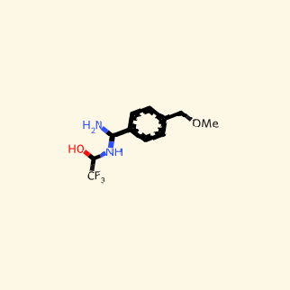 COCc1ccc(C(N)NC(O)C(F)(F)F)cc1